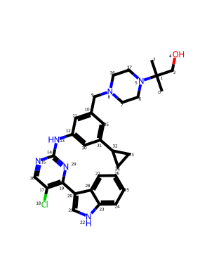 CC(C)(CO)N1CCN(Cc2cc(Nc3ncc(Cl)c(-c4c[nH]c5ccccc45)n3)cc(C3CC3)c2)CC1